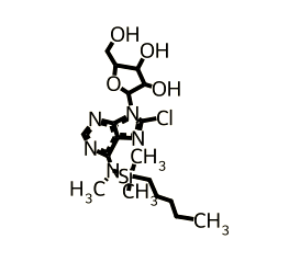 CCCCC[Si](C)(C)N(C)c1ncnc2c1nc(Cl)n2C1OC(CO)C(O)C1O